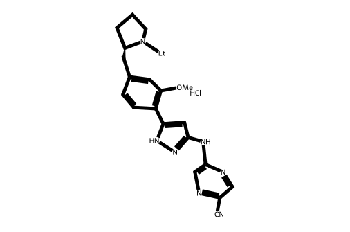 CCN1CCC[C@@H]1Cc1ccc(-c2cc(Nc3cnc(C#N)cn3)n[nH]2)c(OC)c1.Cl